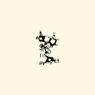 CCc1cc(NC(=O)NS(=O)(=O)N(c2cnn(C)c2)[C@@H]2CCCN(C)C2)c(C(C)C)s1